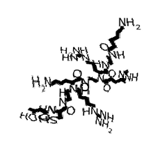 CC(O)CC(=O)NC(CS)C(=O)NCCN(C(=O)CCCCNC(=N)N)C(CCCCN)C(=O)NCCN(C(=O)CCc1c[nH]cn1)C(CCCNC(=N)N)C(=O)NCCNC(=O)CCCCCN